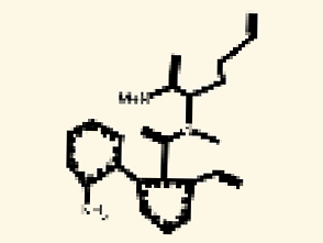 C=CCCC(C(=C)NC)N(C)C(=C)c1c(C=C)cccc1-c1ccccc1N